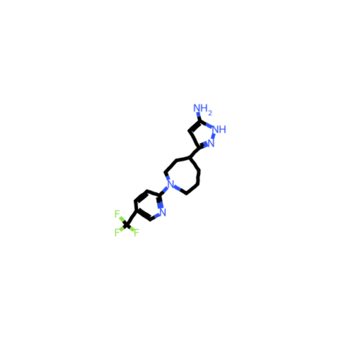 Nc1cc(C2CCCN(c3ccc(C(F)(F)F)cn3)CC2)n[nH]1